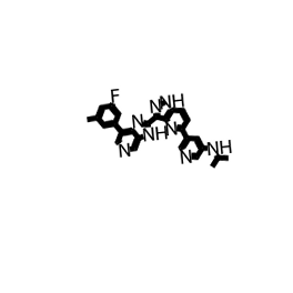 Cc1cc(F)cc(-c2cncc3[nH]c(-c4n[nH]c5ccc(-c6cncc(NC(C)C)c6)nc45)nc23)c1